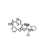 C[C@H](Nc1cccc(Cl)c1)c1ncc(C(=O)N[C@@H](CC2CCCC2)C(=O)NC2CC2)s1